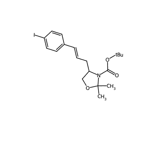 CC(C)(C)OC(=O)N1C(CC=Cc2ccc(I)cc2)COC1(C)C